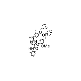 COc1cc(CC(=O)N2CCOCC2)ccc1Oc1nc(Nc2ccc(OCC3CCCN(C)C3)c(F)c2)ncc1C(=O)Nc1c(C)cccc1C